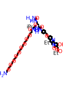 CCC(=O)OCc1c(O)cc2n(c1=O)Cc1c-2nc2ccc(OCc3ccc(NC(=O)[C@H](CCCNC(N)=O)NC(=O)C(NC(=O)CCOCCOCCOCCOCCOCCOCCOCCOCCOCCN)C(C)C)cc3)cc2c1CC